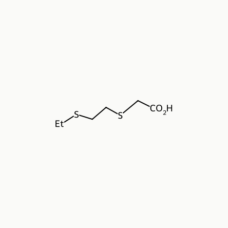 [CH2]CSCCSCC(=O)O